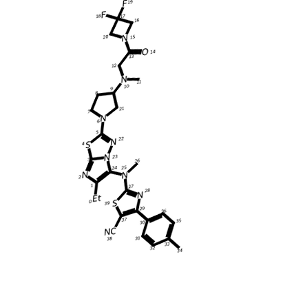 CCc1nc2sc(N3CCC(N(C)CC(=O)N4CC(F)(F)C4)C3)nn2c1N(C)c1nc(-c2ccc(C)cc2)c(C#N)s1